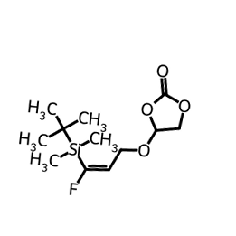 CC(C)(C)[Si](C)(C)C(F)=CCOC1COC(=O)O1